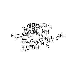 CSCC[C@H](NC(=O)[C@H](COC(C)(C)C)NC(C)=O)C(=O)NCC(=O)N[C@@H](C)C(=O)N[C@@H](CC(C)C)C(=O)N[C@@H](C)C(=O)O